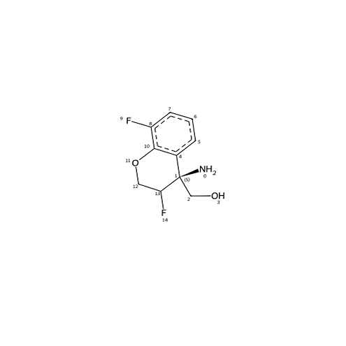 N[C@]1(CO)c2cccc(F)c2OCC1F